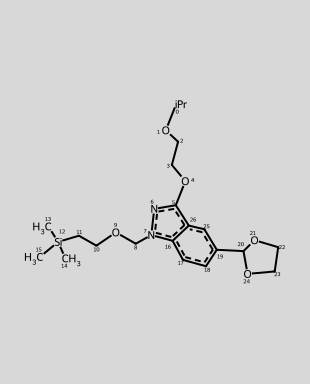 CC(C)OCCOc1nn(COCC[Si](C)(C)C)c2ccc(C3OCCO3)cc12